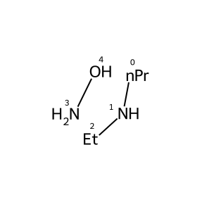 CCCNCC.NO